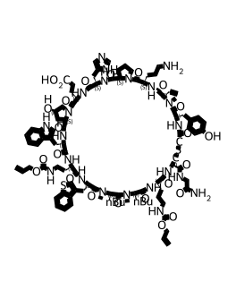 C=CCOC(=O)NCCC[C@@H]1NC(=O)[C@H](CCCC)N(C)C(=O)[C@H](CCCC)N(C)C(=O)[C@H](Cc2csc3ccccc23)NC(=O)[C@H](CCNC(=O)OCC=C)NC(=O)[C@H](Cc2c[nH]c3ccccc23)NC(=O)[C@@H]2C[C@@H](O)CN2C(=O)[C@H](CCC(=O)O)NC(=O)[C@H](Cc2cnc[nH]2)NC(=O)[C@@H]2CCCN2C(=O)[C@H](CCCN)NC(=O)[C@H](C=C)N(C)C(=O)[C@H](Cc2ccc(O)cc2)NC(=O)CSC[C@@H](C(=O)NCC(N)=O)NC1=O